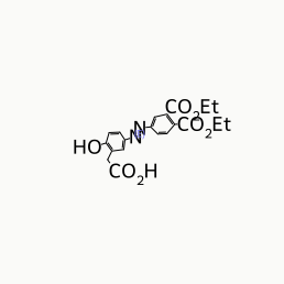 CCOC(=O)c1ccc(/N=N/c2ccc(O)c(CC(=O)O)c2)cc1C(=O)OCC